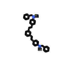 CCN(Cc1ccccc1)c1ccc(C=Cc2cccc(C=Cc3ccc(N(CC)Cc4ccccc4)cc3)c2)cc1